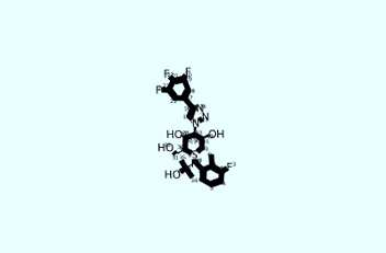 Cc1c(F)cccc1[C@@H]([SH]1C[C@H](O)[C@H](n2cc(-c3cc(F)c(F)c(F)c3)nn2)[C@@H](O)[C@H]1CO)C(C)(C)O